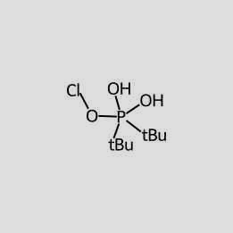 CC(C)(C)P(O)(O)(OCl)C(C)(C)C